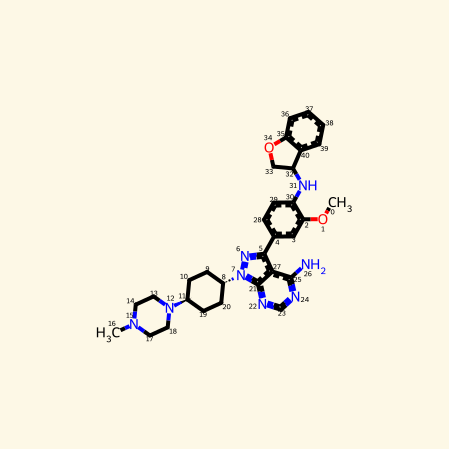 COc1cc(-c2nn([C@H]3CC[C@H](N4CCN(C)CC4)CC3)c3ncnc(N)c23)ccc1NC1COc2ccccc21